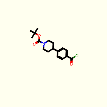 CC(C)(C)OC(=O)N1CCC(c2ccc(C(=O)Cl)cc2)CC1